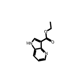 CCOC(=O)c1c[nH]c2cccnc12